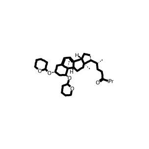 CC(C)C(=O)CC[C@@H](C)[C@H]1CC[C@H]2C3=CC=C4C[C@@H](OC5CCCCO5)C[C@H](OC5CCCCO5)[C@]4(C)[C@H]3CC[C@]12C